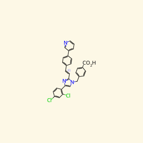 O=C(O)c1ccc(Cn2cc(-c3ccc(Cl)cc3Cl)nc2/C=C/c2ccc(-c3cccnc3)cc2)cc1